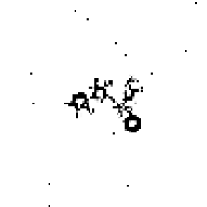 CCC(C)OC(=O)[C@H](C)NP(=O)(OC[C@H]1O[C@@H](n2ccc(=O)[nH]c2=O)[C@](C)(F)[C@@H]1O)Oc1ccccc1